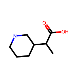 CC(C(=O)O)C1CCC[N]C1